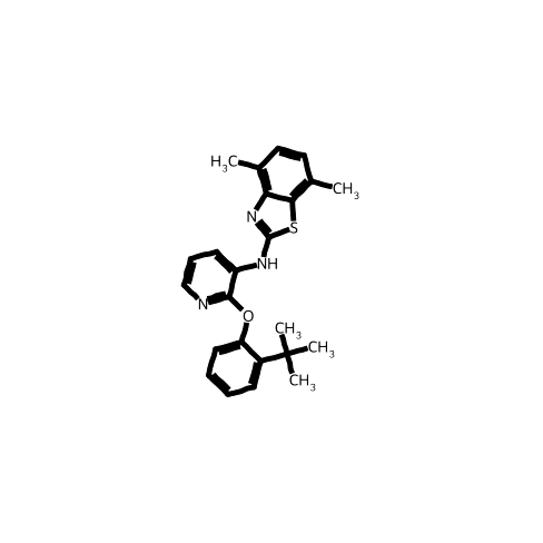 Cc1ccc(C)c2sc(Nc3cccnc3Oc3ccccc3C(C)(C)C)nc12